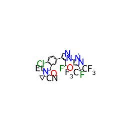 CCN(C(=O)c1cc(-c2cnn3c2C(F)Oc2c(C(F)(C(F)(F)F)C(F)(F)F)nn(C)c2-3)ccc1Cl)C1(C#N)CC1